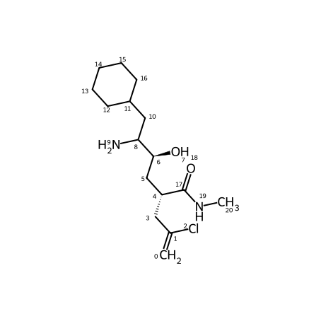 C=C(Cl)C[C@H](C[C@H](O)C(N)CC1CCCCC1)C(=O)NC